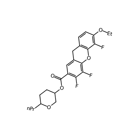 CCCC1CCC(OC(=O)c2cc3c(c(F)c2F)Oc2c(ccc(OCC)c2F)C3)CO1